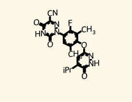 Cc1cc(-n2nc(C#N)c(=O)[nH]c2=O)c(F)c(C)c1Oc1cc(C(C)C)c(=O)[nH]n1